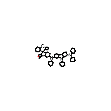 C1=C2C(=CCC1N(c1ccccc1)c1ccc3c4ccc(N(c5ccccc5)c5ccccc5)cc4n(-c4ccccc4)c3c1)C1(c3ccccc3Oc3ccccc31)c1ccccc12